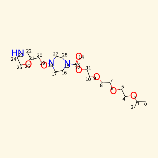 CC(C)OCCOCCOCCOC(=O)N1CCN(OCC2CNCCO2)CC1